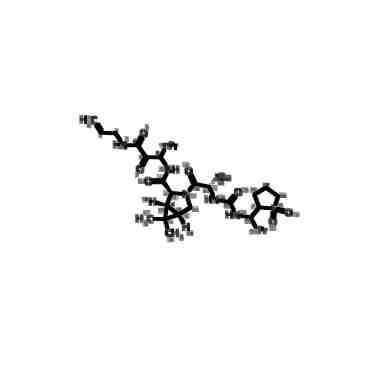 C=CCNC(=O)C(=O)C(CCC)NC(=O)[C@@H]1[C@@H]2[C@H](CN1C(=O)[C@@H](NC(=O)NC(C(C)C)C1CCCS1(=O)=O)C(C)(C)C)C2(C)C